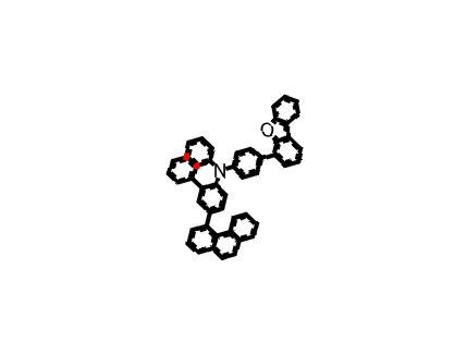 c1ccc(-c2cc(-c3cccc4ccc5ccccc5c34)ccc2N(c2ccccc2)c2ccc(-c3cccc4c3oc3ccccc34)cc2)cc1